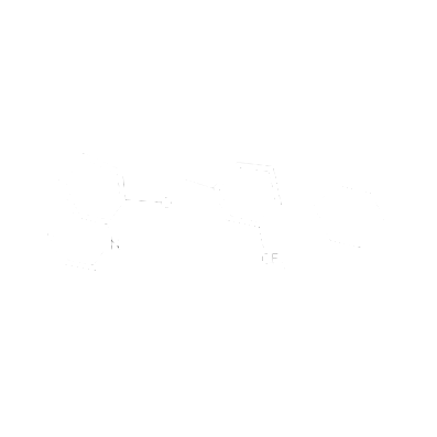 FC(F)(F)c1cc(COc2cccc3cccnc23)ccc1C1CCCCC1